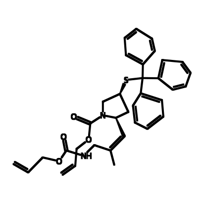 C=CCOC(=O)NCC(C)=C[C@@H]1C[C@H](SC(c2ccccc2)(c2ccccc2)c2ccccc2)CN1C(=O)OCC=C